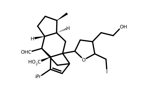 CC(C)C1=CC2CC3(C=O)[C@@H]4CC[C@@H](C)[C@H]4CC2(C2CC(CCO)C(CI)O2)[C@]13C(=O)O